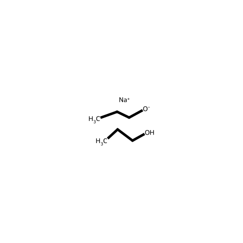 CCCO.CCC[O-].[Na+]